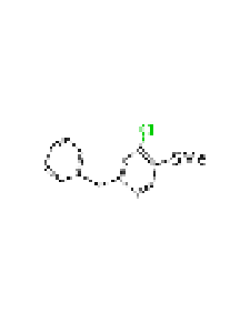 CSc1c[c]c(Cc2ccccc2)cc1Cl